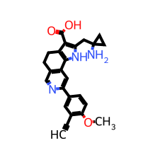 C#Cc1cc(-c2cc3c(cn2)CCc2c-3[nH]c(CC3(N)CC3)c2C(=O)O)ccc1OC